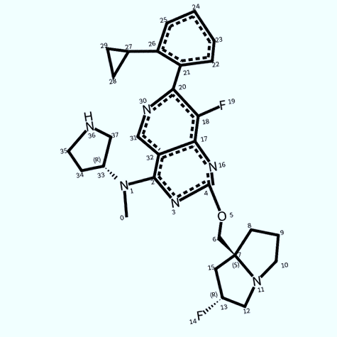 CN(c1nc(OC[C@@]23CCCN2C[C@H](F)C3)nc2c(F)c(-c3ccccc3C3CC3)ncc12)[C@@H]1CCNC1